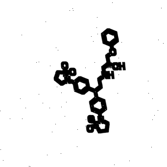 O=S1(=O)CCCN1c1ccc(C(CCNC[C@H](O)COc2ccccc2)c2ccc(N3CCCS3(=O)=O)cc2)cc1